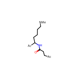 CNCCCCC(NC(=O)CCC(C)=O)C(C)=O